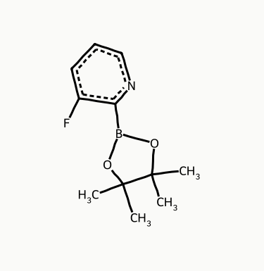 CC1(C)OB(c2ncccc2F)OC1(C)C